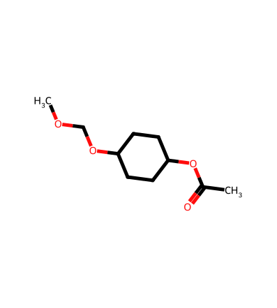 COCOC1CCC(OC(C)=O)CC1